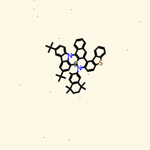 Cc1cc2c(cc1N1B3c4c(cc5ccccc5c4-n4c5ccc(C(C)(C)C)cc5c5cc(C(C)(C)C)cc3c54)-c3c1ccc1sc4ccccc4c31)C(C)(C)CCC2(C)C